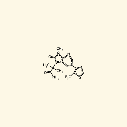 Cn1c(=O)n(C(C)(C)C(N)=O)c2cc(-c3ccsc3C(F)(F)F)cnc21